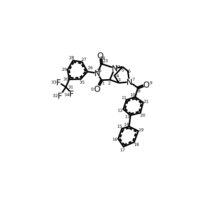 O=C1C2C3CC(CN3C(=O)c3ccc(-c4ccccc4)cc3)N2C(=O)N1c1cccc(C(F)(F)F)c1